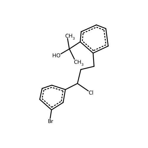 CC(C)(O)c1ccccc1CCC(Cl)c1cccc(Br)c1